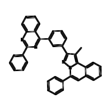 Cc1c(-c2cccc(-c3nc(-c4ccccc4)nc4ccccc34)c2)nn2c(-c3ccccc3)cc3ccccc3c12